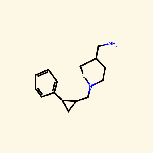 NCC1CCN(CC2CC2c2ccccc2)CC1